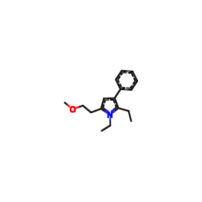 CCc1c(-c2ccccc2)cc(CCOC)n1CC